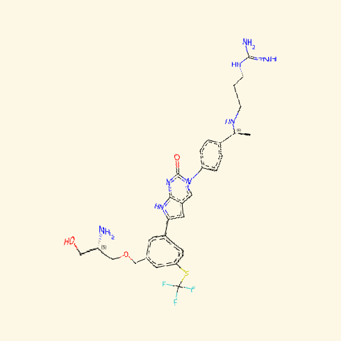 C[C@H](NCCCNC(=N)N)c1ccc(-n2cc3cc(-c4cc(COC[C@@H](N)CO)cc(SC(F)(F)F)c4)[nH]c3nc2=O)cc1